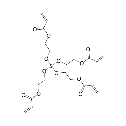 C=CC(=O)OCCO[Si](OCCOC(=O)C=C)(OCCOC(=O)C=C)OCCOC(=O)C=C